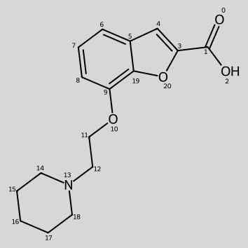 O=C(O)c1cc2cccc(OCCN3CCCCC3)c2o1